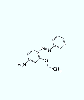 CCOc1cc(N)ccc1N=Nc1ccccc1